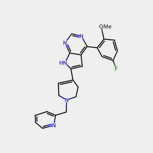 COc1ccc(F)cc1-c1ncnc2[nH]c(C3=CCN(Cc4ccccn4)CC3)cc12